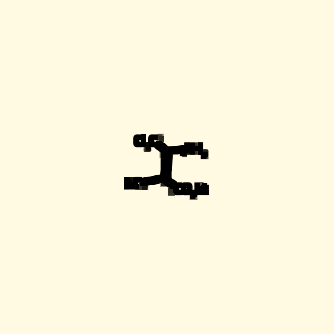 CCOC(=O)/C(C#N)=C(\N)C(Cl)(Cl)Cl